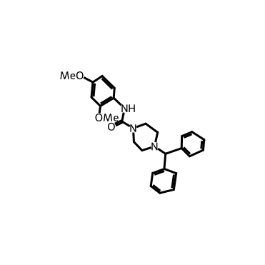 COc1ccc(NC(=O)N2CCN(C(c3ccccc3)c3ccccc3)CC2)c(OC)c1